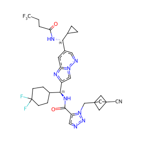 N#CC12CC(Cn3nncc3C(=O)N[C@H](c3cn4ncc([C@H](NC(=O)CCC(F)(F)F)C5CC5)cc4n3)C3CCC(F)(F)CC3)(C1)C2